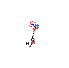 COc1ccc(/C=C/CCCCOc2ccc(I)nc2CCC(=O)O)cc1